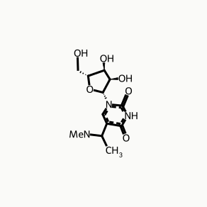 CNC(C)c1cn([C@@H]2O[C@H](CO)[C@@H](O)[C@H]2O)c(=O)[nH]c1=O